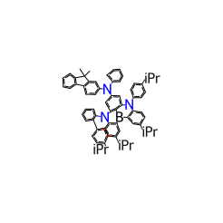 CC(C)c1ccc(-c2ccccc2N2c3ccc(C(C)C)cc3B3c4cc(C(C)C)ccc4N(c4ccc(C(C)C)cc4)c4cc(N(c5ccccc5)c5ccc6c(c5)C(C)(C)c5ccccc5-6)cc2c43)cc1